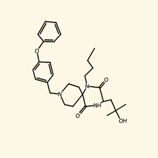 CCCCN1C(=O)C(CC(C)(C)O)NC(=O)C12CCN(Cc1ccc(Oc3ccccc3)cc1)CC2